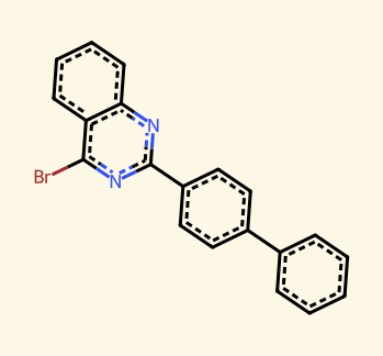 Brc1nc(-c2ccc(-c3ccccc3)cc2)nc2ccccc12